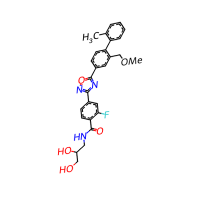 COCc1cc(-c2nc(-c3ccc(C(=O)NCC(O)CO)c(F)c3)no2)ccc1-c1ccccc1C